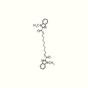 Cn1c(C(=O)SCCCCCCCCSC(=O)c2nc3ccccc3n2C)nc2ccccc21